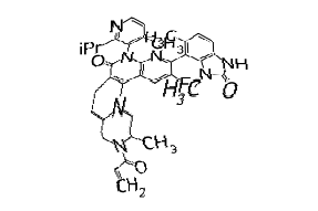 C=CC(=O)N1CC2CCc3c(c4cc(F)c(-c5c(C)ccc6[nH]c(=O)n(C)c56)nc4n(-c4c(C)ccnc4C(C)C)c3=O)N2CC1C